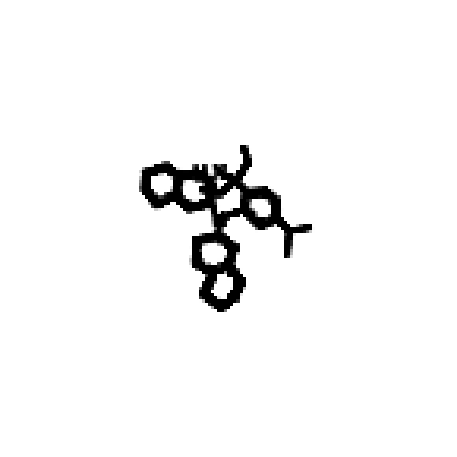 CCC(N)(CC)c1ccc(C(C)C)cc1N(c1ccc2ccccc2c1)c1ccc2ccccc2c1